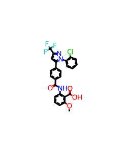 COc1cccc(NC(=O)c2ccc(-c3cc(C(F)(F)F)nn3-c3ccccc3Cl)cc2)c1C(=O)O